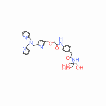 O=C(COCc1ccc(CN(Cc2ccccn2)Cc2ccccn2)nc1)Nc1ccc(CC(=O)NC(CO)(CO)CO)cc1